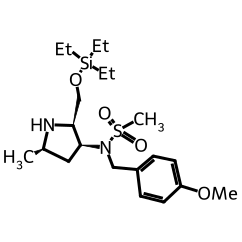 CC[Si](CC)(CC)OC[C@@H]1N[C@H](C)C[C@@H]1N(Cc1ccc(OC)cc1)S(C)(=O)=O